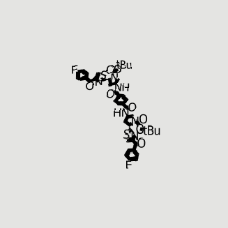 CC(C)(C)OC(=O)N1C[C@@H](NC(=O)c2ccc(C(=O)N[C@H]3C[C@@H](c4nc(C(=O)c5ccc(F)cc5)cs4)N(C(=O)OC(C)(C)C)C3)cc2)C[C@H]1c1nc(C(=O)c2ccc(F)cc2)cs1